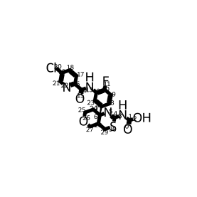 O=C(O)NC1=N[C@@]2(c3ccc(F)c(NC(=O)c4ccc(Cl)cn4)c3)CCOCC2CS1